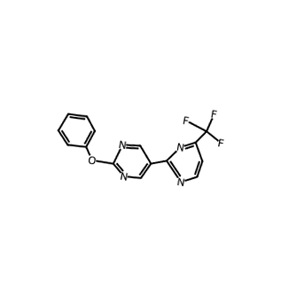 FC(F)(F)c1ccnc(-c2cnc(Oc3ccccc3)nc2)n1